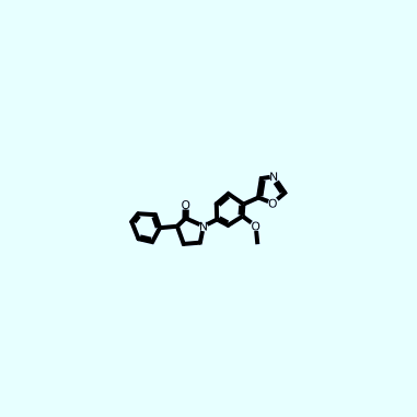 COc1cc(N2CCC(c3ccccc3)C2=O)ccc1-c1cnco1